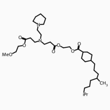 COCCOC(=O)CCN(CCC(=O)OCCOC(=O)C1CCC(CCCC(C)CCCC(C)C)CC1)CCN1CCCCC1